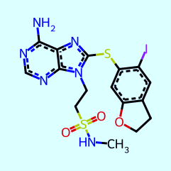 CNS(=O)(=O)CCn1c(Sc2cc3c(cc2I)CCO3)nc2c(N)ncnc21